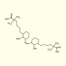 CC(C)(CCCCC1CCCC(/C=C\C2CCCC(CCCCC(C)(C)C(=O)O)C2O)C1O)C(=O)O